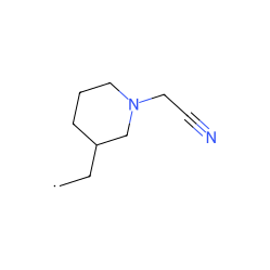 [CH2]CC1CCCN(CC#N)C1